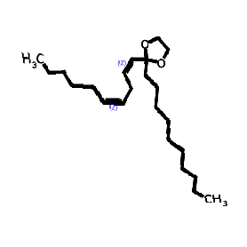 CCCCC/C=C\C/C=C\C1(CCCCCCCCCC)OCCO1